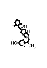 CC(CN1C[C@@H]2C[C@@](O)(Cc3c(F)cccc3F)C[C@@H]2C1)c1ccc(O)cn1